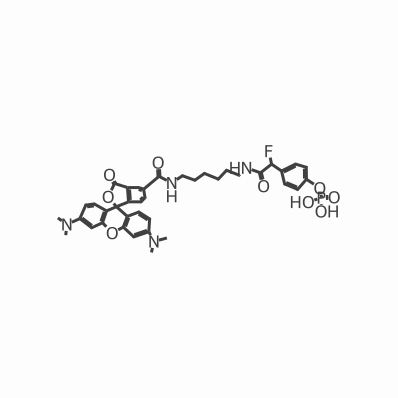 CN(C)c1ccc2c(c1)Oc1cc(N(C)C)ccc1C21OC(=O)c2cc(C(=O)NCCCCCCNC(=O)C(F)c3ccc(OP(=O)(O)O)cc3)ccc21